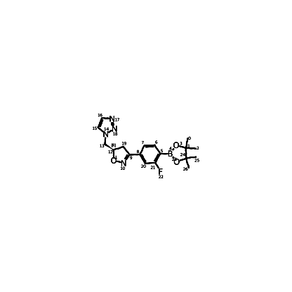 CC1(C)OB(c2ccc(C3=NO[C@@H](Cn4ccnn4)C3)cc2F)OC1(C)C